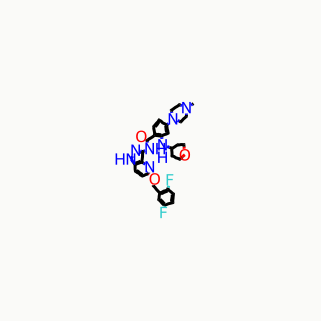 CN1CCN(c2ccc(C(=O)Nc3n[nH]c4ccc(OCc5cc(F)ccc5F)nc34)c(NC3CCOCC3)c2)CC1